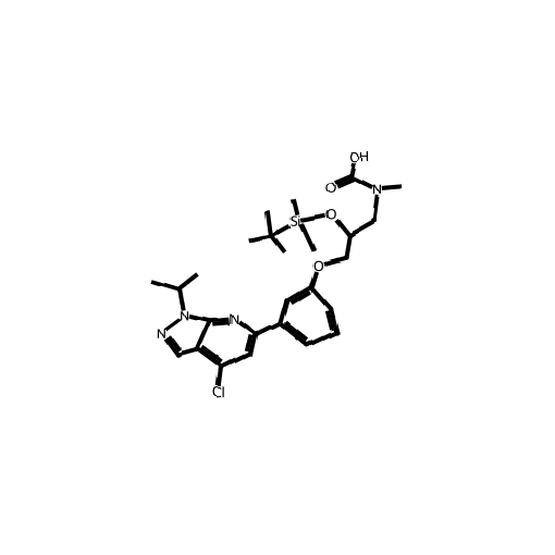 CC(C)n1ncc2c(Cl)cc(-c3cccc(OCC(CN(C)C(=O)O)O[Si](C)(C)C(C)(C)C)c3)nc21